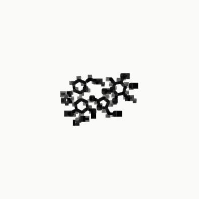 CCN[C@@H]1[C@@H](O)[C@H](N)C([C@H]2O[C@H](CN)CC[C@H]2N)[C@H](O[C@@H]2O[C@H](CO)[C@@H](O[C@H]3O[C@@H](C)[C@@H](O)[C@H](O)[C@H]3N)[C@H]2O)[C@H]1O